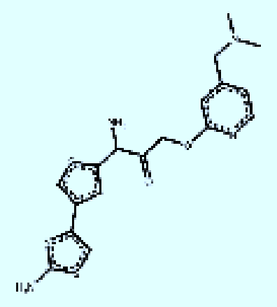 CN(C)Cc1ccnc(OCC(=O)C(N)c2cc(-c3csc(N)n3)cs2)c1